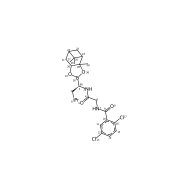 CC(C)C[C@H](NC(=O)CNC(=O)c1cc(Cl)ccc1Cl)B1OC2CC3CC(C3(C)C)C2(C)O1